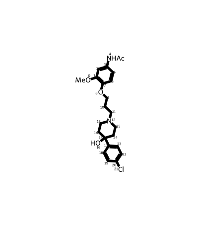 COc1cc(NC(C)=O)ccc1OCCCN1CCC(O)(c2ccc(Cl)cc2)CC1